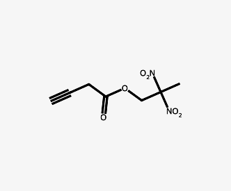 C#CCC(=O)OCC(C)([N+](=O)[O-])[N+](=O)[O-]